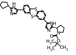 CC(C)(C)OC(=O)N1CCC[C@@H]1c1ncc(-c2ccc3c(c2)Sc2cc(-c4cnc(C5CCCC5)[nH]4)ccc2S3)[nH]1